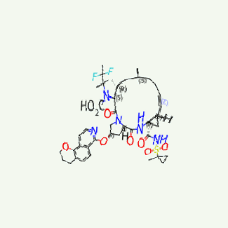 C[C@H]1CC/C=C\[C@@H]2C[C@@]2(C(=O)NS(=O)(=O)C2(C)CC2)NC(=O)[C@@H]2C[C@@H](Oc3nccc4c5c(ccc34)CCCO5)CN2C(=O)[C@@H](N(C(=O)O)C(C)(C)C(C)(F)F)[C@H](C)C1